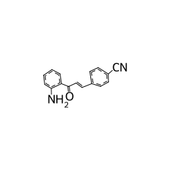 N#Cc1ccc(C=CC(=O)c2ccccc2N)cc1